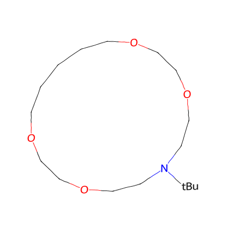 CC(C)(C)N1CCOCCOCCCCCOCCOCC1